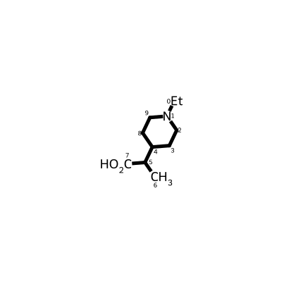 CCN1CCC(C(C)C(=O)O)CC1